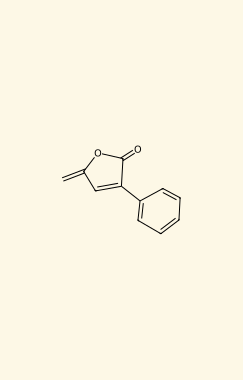 C=C1C=C(c2ccccc2)C(=O)O1